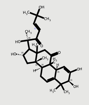 CC(C)(O)/C=C/C(=O)[C@](C)(O)C1[C@@H](O)C[C@@]2(C)[C@@H]3CC=C4[C@H](C=C(O)[C@@H](O)C4(C)C)C3(C)C(=O)CC12C